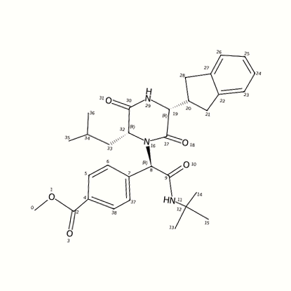 COC(=O)c1ccc([C@H](C(=O)NC(C)(C)C)N2C(=O)[C@@H](C3Cc4ccccc4C3)NC(=O)[C@H]2CC(C)C)cc1